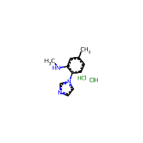 CNc1cc(C)ccc1-n1ccnc1.Cl.Cl